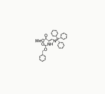 COC(=O)/C(=C/N=P(c1ccccc1)(c1ccccc1)c1ccccc1)NC(=O)OCc1ccccc1